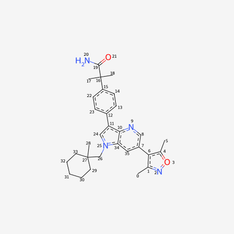 Cc1noc(C)c1-c1cnc2c(-c3ccc(C(C)(C)C(N)=O)cc3)cn(CC3(C)CCCCC3)c2c1